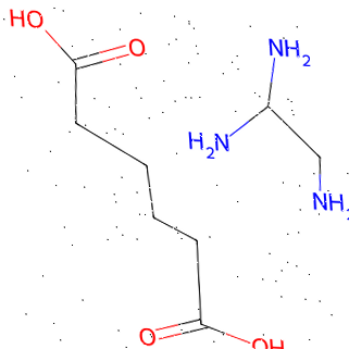 NCC(N)N.O=C(O)CCCCC(=O)O